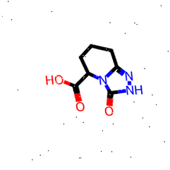 O=C(O)C1CCCc2n[nH]c(=O)n21